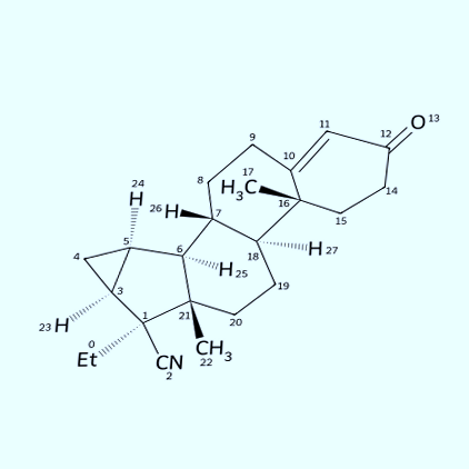 CC[C@]1(C#N)[C@H]2C[C@H]2[C@H]2[C@@H]3CCC4=CC(=O)CC[C@]4(C)[C@H]3CC[C@@]21C